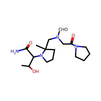 CC(O)C(C(N)=O)N1CCCC1(C)CN(C=O)CC(=O)N1CCCC1